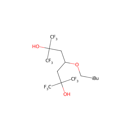 CCC(C)COC(CC(O)(C(F)(F)F)C(F)(F)F)CC(O)(C(F)(F)F)C(F)(F)F